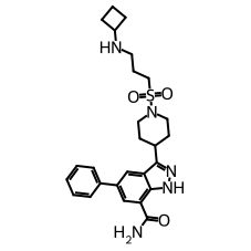 NC(=O)c1cc(-c2ccccc2)cc2c(C3CCN(S(=O)(=O)CCCNC4CCC4)CC3)n[nH]c12